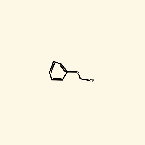 FC(F)(F)CSc1[c]cccc1